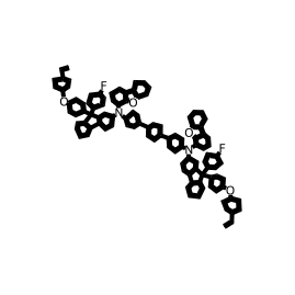 C=Cc1ccc(Oc2ccc(C3(c4ccc(F)cc4)c4ccccc4-c4ccc(N(c5ccc(-c6ccc(-c7ccc(N(c8ccc9c(c8)C(c8ccc(F)cc8)(c8ccc(Oc%10ccc(C=C)cc%10)cc8)c8ccccc8-9)c8cccc9c8oc8ccccc89)cc7)cc6)cc5)c5cccc6c5oc5ccccc56)cc43)cc2)cc1